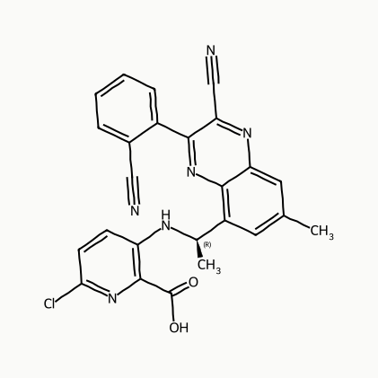 Cc1cc([C@@H](C)Nc2ccc(Cl)nc2C(=O)O)c2nc(-c3ccccc3C#N)c(C#N)nc2c1